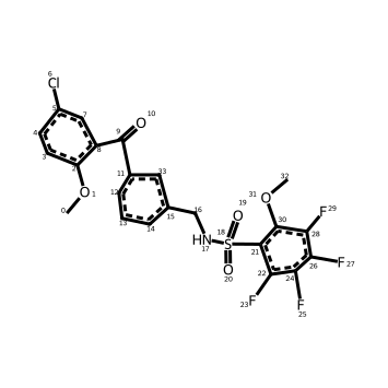 COc1ccc(Cl)cc1C(=O)c1cccc(CNS(=O)(=O)c2c(F)c(F)c(F)c(F)c2OC)c1